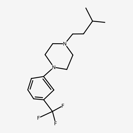 CC(C)CCN1CCN(c2cccc(C(F)(F)F)c2)CC1